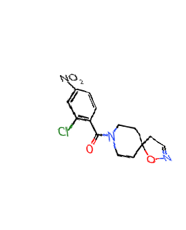 O=C(c1ccc([N+](=O)[O-])cc1Cl)N1CCC2(CC=NO2)CC1